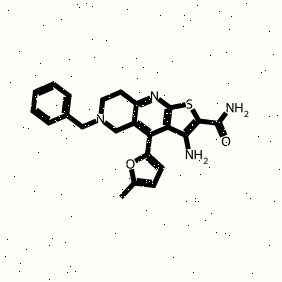 Cc1ccc(-c2c3c(nc4sc(C(N)=O)c(N)c24)CCN(Cc2ccccc2)C3)o1